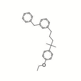 CCOc1ccc(C(C)(C)CCCc2cccc(Cc3ccccc3)c2)cc1